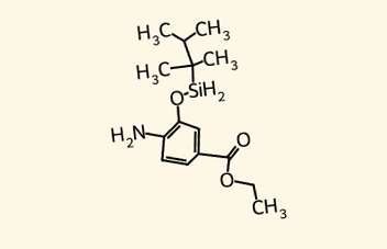 CCOC(=O)c1ccc(N)c(O[SiH2]C(C)(C)C(C)C)c1